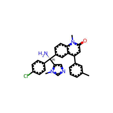 Cc1cccc(-c2cc(=O)n(C)c3ccc([C@](N)(c4ccc(Cl)cc4)c4cncn4C)cc23)c1